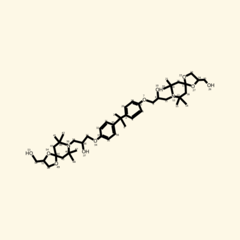 CC(C)(c1ccc(OCC(O)CN2C(C)(C)CC3(CC2(C)C)OCC(CO)O3)cc1)c1ccc(OCC(O)CN2C(C)(C)CC3(CC2(C)C)OCC(CO)O3)cc1